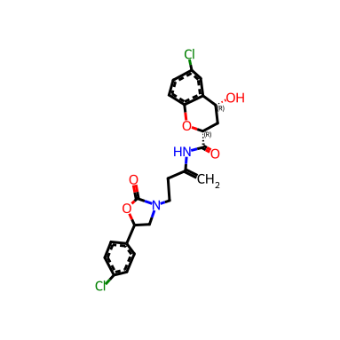 C=C(CCN1CC(c2ccc(Cl)cc2)OC1=O)NC(=O)[C@H]1C[C@@H](O)c2cc(Cl)ccc2O1